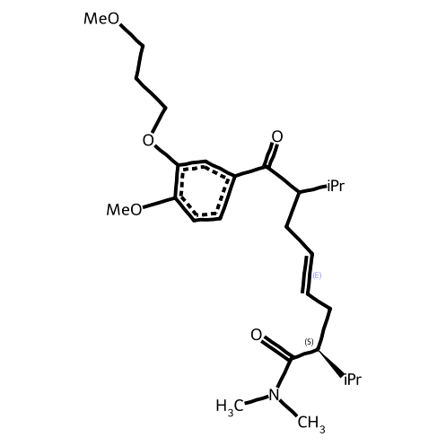 COCCCOc1cc(C(=O)C(C/C=C/C[C@H](C(=O)N(C)C)C(C)C)C(C)C)ccc1OC